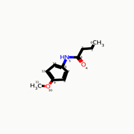 CCCC(=O)Nc1ccc(OC)cc1